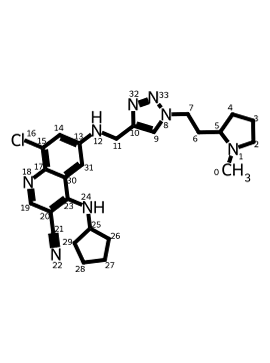 CN1CCCC1CCn1cc(CNc2cc(Cl)c3ncc(C#N)c(NC4CCCC4)c3c2)nn1